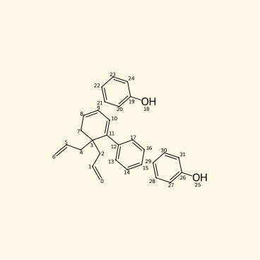 C=CCC1(CC=C)CC=CC=C1c1ccccc1.Oc1ccccc1.Oc1ccccc1